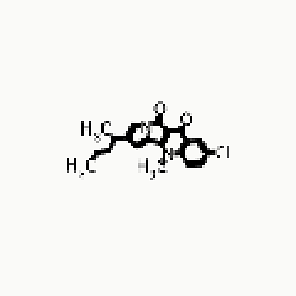 CCCC(C)c1cc2n(c1)C(=O)c1c-2n(C)c2ccc(Cl)cc2c1=O